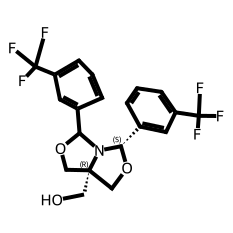 OC[C@]12COC(c3cccc(C(F)(F)F)c3)N1[C@H](c1cccc(C(F)(F)F)c1)OC2